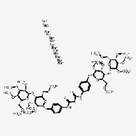 O=C(CC(=O)Nc1ccc(S[C@H]2O[C@H](COS(=O)(=O)O)[C@@H](O[C@@H]3O[C@H](COS(=O)(=O)O)[C@@H](OS(=O)(=O)O)[C@H](OS(=O)(=O)O)[C@H]3OS(=O)(=O)O)[C@@H](OS(=O)(=O)O)[C@H]2OS(=O)(=O)O)cc1)Nc1ccc(S[C@H]2O[C@H](COS(=O)(=O)O)[C@@H](O[C@@H]3O[C@H](COS(=O)(=O)O)[C@@H](OS(=O)(=O)O)[C@H](OS(=O)(=O)O)[C@H]3OS(=O)(=O)O)[C@@H](OS(=O)(=O)O)[C@H]2OS(=O)(=O)O)cc1.[Na+].[Na+].[Na+].[Na+].[Na+].[Na+].[Na+].[Na+].[Na+].[Na+].[Na+].[Na+].[Na+].[Na+]